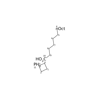 C1CCC1.CCCCCCCCCCCCCC(=O)O.P